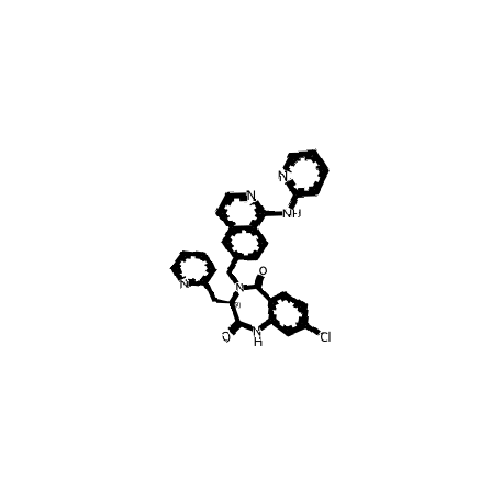 O=C1Nc2cc(Cl)ccc2C(=O)N(Cc2ccc3c(Nc4ccccn4)nccc3c2)[C@@H]1Cc1ccccn1